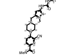 CCNC(=O)Nc1cc(CN2CCN(c3ccc(C(=O)NC)nc3C#N)CC2)n(C)n1